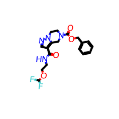 O=C(NCCOC(F)F)c1cnn2c1CN(C(=O)OCc1ccccc1)CC2